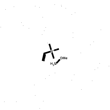 C=C[N+](C)(C)C.CO[SiH3]